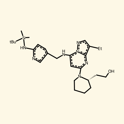 CCc1cnn2c(NCc3ccc(N[Si](C)(C)C(C)(C)C)nc3)cc(N3CCCC[C@H]3CCO)nc12